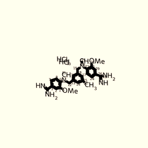 COc1cc(C(=N)N)ccc1N(C)Cc1cc(C)cc(CN(C)c2ccc(C(=N)N)cc2OC)c1.Cl.Cl